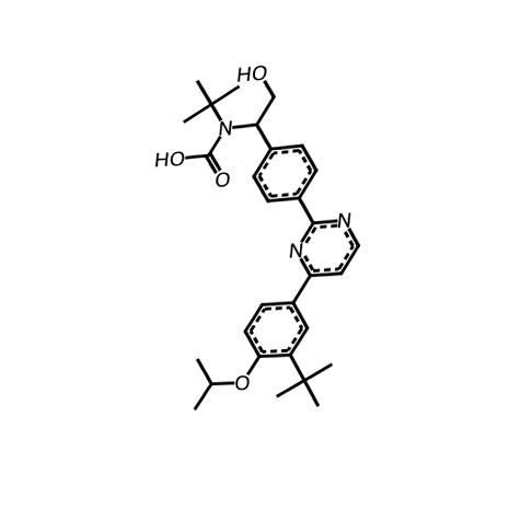 CC(C)Oc1ccc(-c2ccnc(-c3ccc(C(CO)N(C(=O)O)C(C)(C)C)cc3)n2)cc1C(C)(C)C